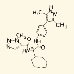 Cc1n[nH]c(C)c1-c1ccc(NC(=O)[C@@H](NC(=O)c2cnnn2C)C2CCCCCC2)cc1